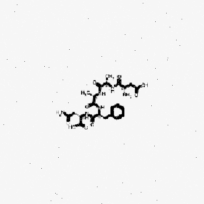 C[C@H](NC(=O)[C@H](C)NC(=O)[C@@H](N)CC(=O)O)C(=O)N[C@@H](Cc1ccccc1)C(=O)N[C@@H](CC(N)=O)C(=O)O